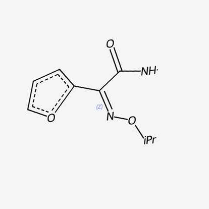 CC(C)O/N=C(\C([NH])=O)c1ccco1